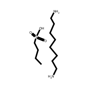 CCCCS(=O)(=O)O.NCCCCCCCCN